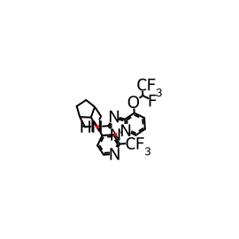 FC(Oc1cccn2nc(NC3C4CCC3CN(c3ccnc(C(F)(F)F)c3)C4)nc12)C(F)(F)F